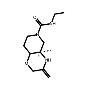 C=C1COC2CCN(C(=O)NCI)C[C@@]2(C)N1